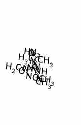 C=CC(=O)N1CCN(c2nc(NCCC(=O)N(C)C)nc3c2CN(C)C(c2c(C)ccc4[nH]ncc24)C3)C[C@@H]1CC#N